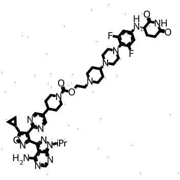 CC(C)n1nc(-c2noc(C3CC3)c2-c2ncc(C3CCN(C(=O)OCCN4CCC(N5CCN(c6c(F)cc(N[C@H]7CCC(=O)NC7=O)cc6F)CC5)CC4)CC3)cn2)c2c(N)ncnc21